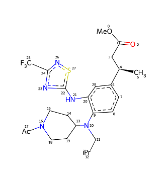 COC(=O)C[C@@H](C)c1ccc(N(CC(C)C)C2CCN(C(C)=O)CC2)c(Nc2nc(C(F)(F)F)ns2)c1